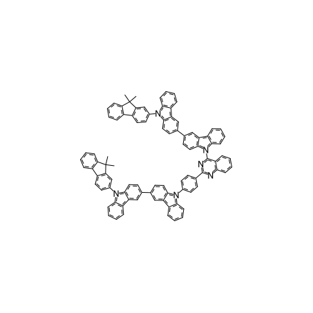 CC1(C)c2ccccc2-c2ccc(-n3c4ccccc4c4cc(-c5ccc6c(c5)c5ccccc5n6-c5ccc(-c6nc(-n7c8ccccc8c8cc(-c9ccc%10c(c9)c9ccccc9n%10-c9ccc%10c(c9)C(C)(C)c9ccccc9-%10)ccc87)c7ccccc7n6)cc5)ccc43)cc21